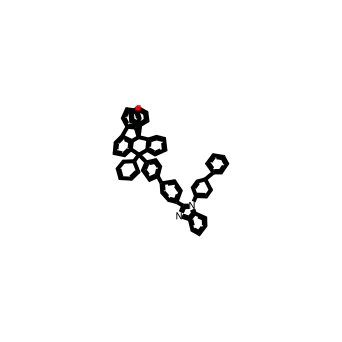 C1=CCC(C2(c3ccc(-c4ccc(-c5nc6ccccc6n5C5=CCC(c6ccccc6)C=C5)cc4)cc3)c3ccccc3C3(c4ccccc4)c4ccccc4-c4cccc2c43)C=C1